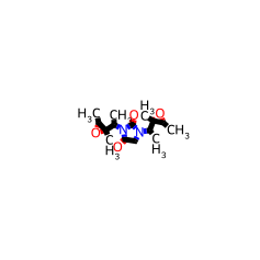 CC1OC1(C)C(C)N1CC(=O)N(C(C)C2(C)OC2C)C1=O